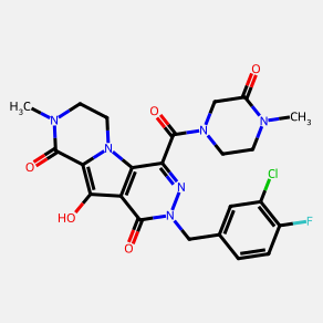 CN1CCN(C(=O)c2nn(Cc3ccc(F)c(Cl)c3)c(=O)c3c(O)c4n(c23)CCN(C)C4=O)CC1=O